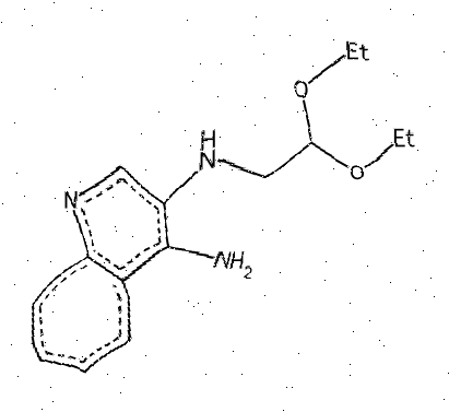 CCOC(CNc1cnc2ccccc2c1N)OCC